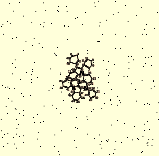 c1ccc(-c2c(-c3ccccc3)n3c4c(cccc24)B2c4c(cccc4-3)N(c3ccccc3)c3c2n(-c2ccccc2)c2ccccc32)cc1